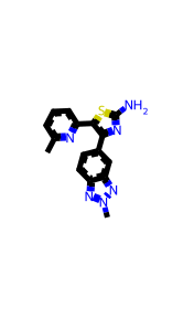 Cc1cccc(-c2sc(N)nc2-c2ccc3nn(C)nc3c2)n1